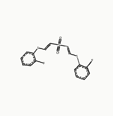 O=S(=O)(C=CSc1ccccc1F)C=CSc1ccccc1F